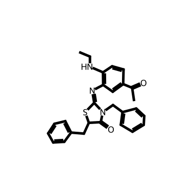 CCNc1ccc(C(C)=O)cc1/N=C1/SC(Cc2ccccc2)C(=O)N1Cc1ccccc1